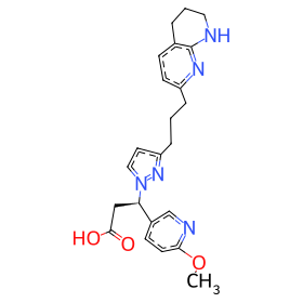 COc1ccc([C@@H](CC(=O)O)n2ccc(CCCc3ccc4c(n3)NCCC4)n2)cn1